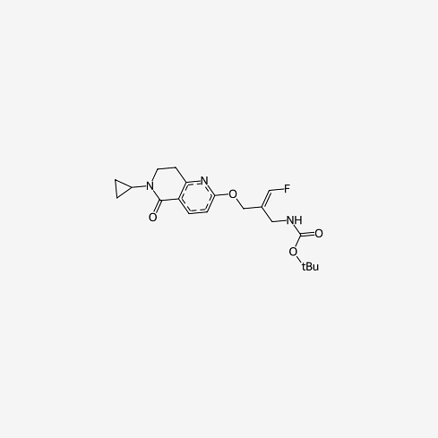 CC(C)(C)OC(=O)NCC(=CF)COc1ccc2c(n1)CCN(C1CC1)C2=O